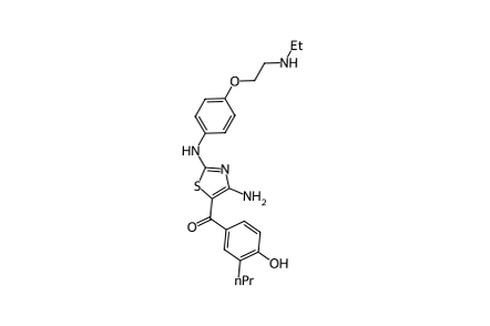 CCCc1cc(C(=O)c2sc(Nc3ccc(OCCNCC)cc3)nc2N)ccc1O